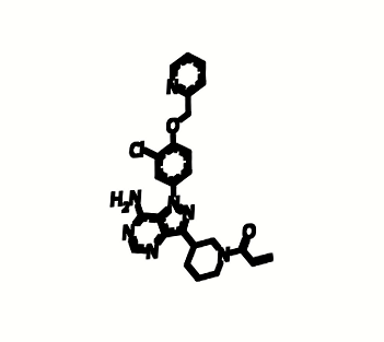 C=CC(=O)N1CCCC(c2nn(-c3ccc(OCc4ccccn4)c(Cl)c3)c3c(N)ncnc23)C1